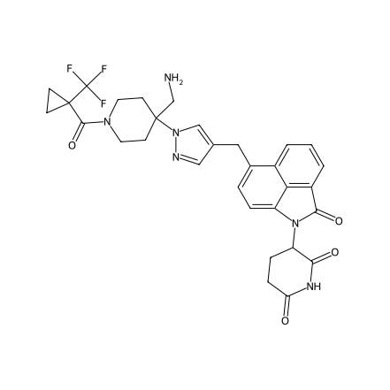 NCC1(n2cc(Cc3ccc4c5c(cccc35)C(=O)N4C3CCC(=O)NC3=O)cn2)CCN(C(=O)C2(C(F)(F)F)CC2)CC1